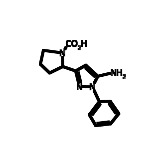 Nc1cc(C2CCCN2C(=O)O)nn1-c1ccccc1